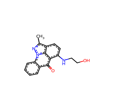 Cc1nn2c3ccccc3c(=O)c3c(NCCO)ccc1c32